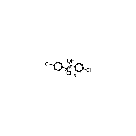 C[C@H](c1ccc(Cl)cc1)[C@@H](O)c1ccc(Cl)cc1